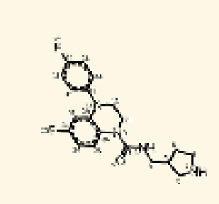 O=C(NCC1CCNC1)N1CCN(c2ccc(F)cc2)c2cc(F)ccc21